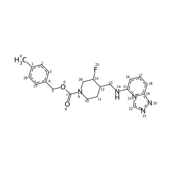 Cc1ccc(COC(=O)N2CCC(CNc3cccc4nncn34)C(F)C2)cc1